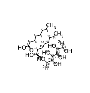 CCCCCCCC(=O)O.CCCCCCCC(=O)O.[2H]C(O)[C@@H](O)[C@@H](O)[C@H](O)[C@H](O)C([2H])O